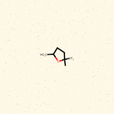 CC1(C(F)(F)F)CCC(C(=O)O)O1